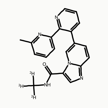 [2H]C([2H])([2H])NC(=O)c1cnc2ccc(-c3cccnc3-c3cccc(C)n3)cn12